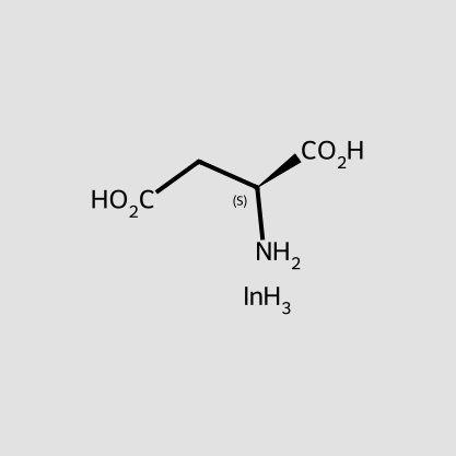 N[C@@H](CC(=O)O)C(=O)O.[InH3]